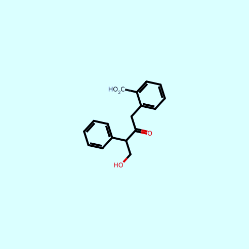 O=C(O)c1ccccc1CC(=O)C(CO)c1ccccc1